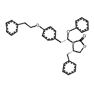 O=C1OC[C@H](Cc2ccccc2)N1[C@H](Cc1ccc(OCCc2ccccc2)cc1)Oc1ccccc1